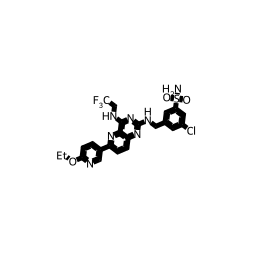 CCOc1ccc(-c2ccc3nc(NCc4cc(Cl)cc(S(N)(=O)=O)c4)nc(NCC(F)(F)F)c3n2)cn1